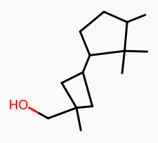 CC1CCC(C2CC(C)(CO)C2)C1(C)C